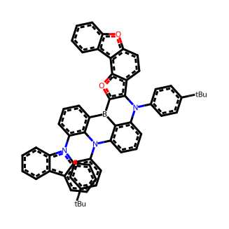 CC(C)(C)c1ccc(N2c3cccc4c3B(c3cccc(-n5c6ccccc6c6ccccc65)c32)c2oc3c(ccc5oc6ccccc6c53)c2N4c2ccc(C(C)(C)C)cc2)cc1